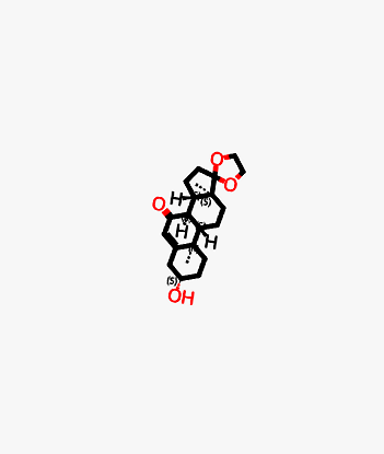 C[C@]12CC[C@H](O)CC1=CC(=O)[C@@H]1[C@@H]2CC[C@@]2(C)[C@H]1CCC21OCCO1